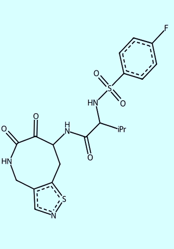 CC(C)C(NS(=O)(=O)c1ccc(F)cc1)C(=O)NC1Cc2sncc2CNC(=O)C1=O